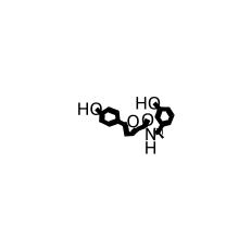 C[C@@H](NC(=O)c1ccc(-c2ccc(O)cc2)o1)c1cccc(O)c1